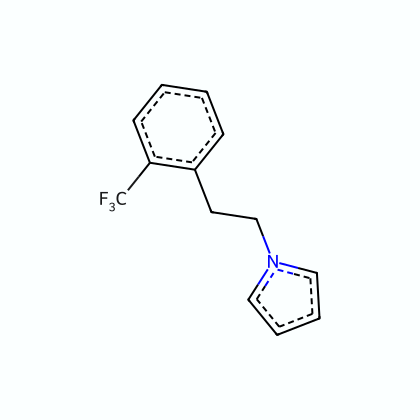 FC(F)(F)c1ccccc1CCn1cccc1